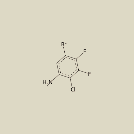 Nc1cc(Br)c(F)c(F)c1Cl